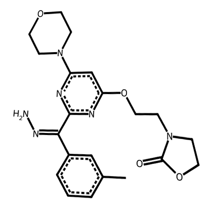 Cc1cccc(C(=NN)c2nc(OCCN3CCOC3=O)cc(N3CCOCC3)n2)c1